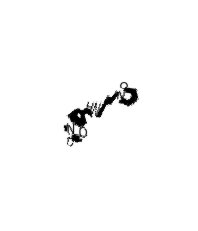 CN1C(=O)COc2cc(CCNCCCCN3CCCCC3=O)ccc21